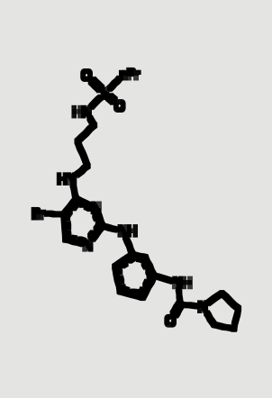 CCCS(=O)(=O)NCCCNc1nc(Nc2cccc(NC(=O)N3CCCC3)c2)ncc1Br